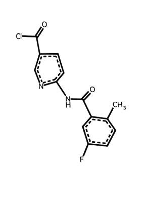 Cc1ccc(F)cc1C(=O)Nc1ccc(C(=O)Cl)cn1